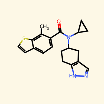 Cc1c(C(=O)N(C2CC2)C2CCc3[nH]ncc3C2)ccc2ccsc12